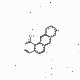 C=Cc1ccc2cc3ccccc3cc2c1C(=O)O